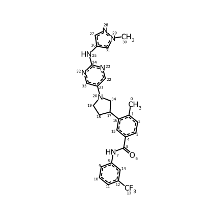 Cc1ccc(C(=O)Nc2cccc(C(F)(F)F)c2)cc1C1CCN(c2cnc(Nc3cnn(C)c3)nc2)C1